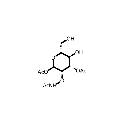 CC(=O)NO[C@H]1C(OC(C)=O)O[C@H](CO)[C@@H](O)[C@@H]1OC(C)=O